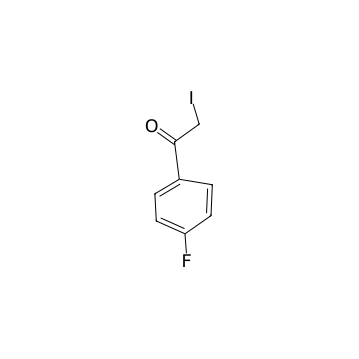 O=C(CI)c1ccc(F)cc1